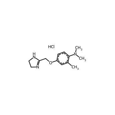 Cc1cc(OCC2=NCCN2)ccc1N(C)C.Cl